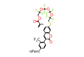 C=C(C)C(=O)OCC(F)(F)OC(F)(F)OC(F)(F)OC(F)(F)CSc1ccc2cc(-c3ccc(CCCCC)cc3C(F)(F)F)c(=O)oc2c1